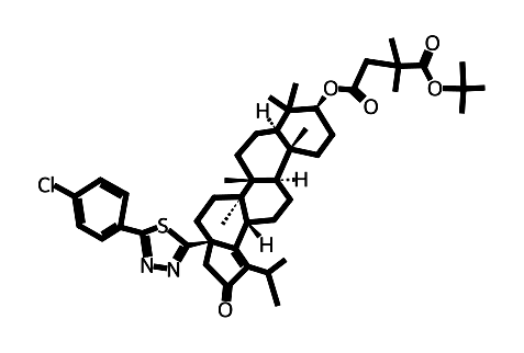 CC(C)C1=C2[C@H]3CC[C@@H]4[C@@]5(C)CC[C@H](OC(=O)CC(C)(C)C(=O)OC(C)(C)C)C(C)(C)[C@@H]5CC[C@@]4(C)[C@]3(C)CC[C@@]2(c2nnc(-c3ccc(Cl)cc3)s2)CC1=O